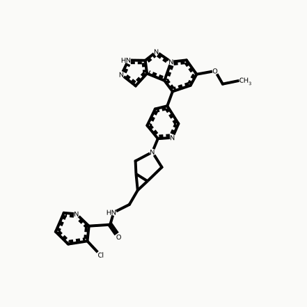 CCOc1cc(-c2ccc(N3CC4C(CNC(=O)c5ncccc5Cl)C4C3)nc2)c2c3cn[nH]c3nn2c1